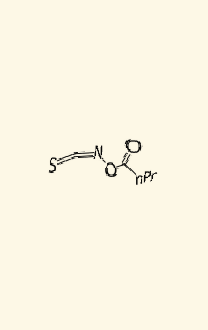 CCCC(=O)ON=C=S